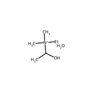 CC[N+](C)(C)C(C)O.O